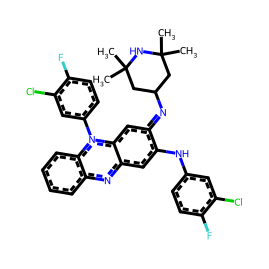 CC1(C)CC(N=c2cc3n(-c4ccc(F)c(Cl)c4)c4ccccc4nc-3cc2Nc2ccc(F)c(Cl)c2)CC(C)(C)N1